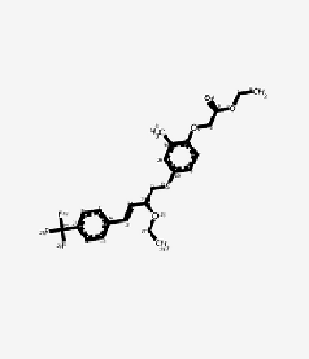 CCOC(=O)COc1ccc(SCC(/C=C/c2ccc(C(F)(F)F)cc2)OCC)cc1C